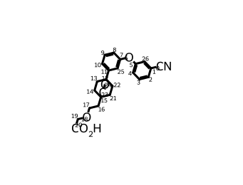 N#Cc1cccc(Oc2cccc(C34CCC(CCOCC(=O)O)(CC3)CO4)c2)c1